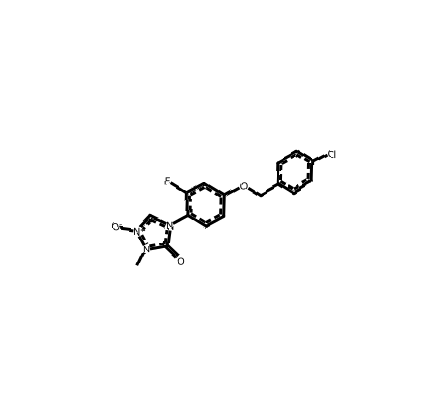 Cn1c(=O)n(-c2ccc(OCc3ccc(Cl)cc3)cc2F)c[n+]1[O-]